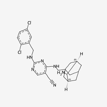 N#Cc1cnc(NCc2cc(Cl)ccc2Cl)nc1NCC12CC3C[C@H](C1)C(N)[C@@H](C3)C2